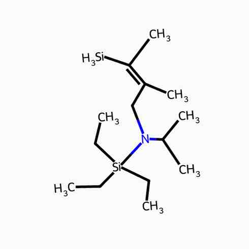 CC[Si](CC)(CC)N(CC(C)=C(C)[SiH3])C(C)C